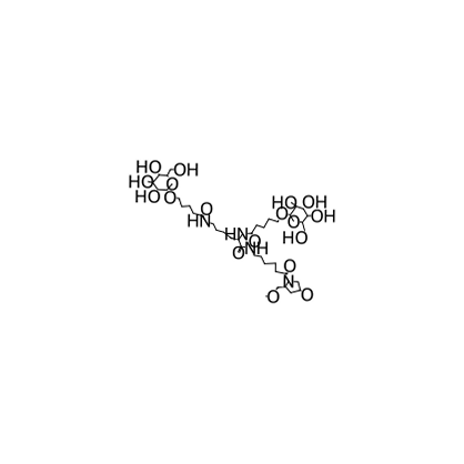 COC[C@@H]1C[C@@H](OC)CN1C(=O)CCCCCNC(=O)[C@@H](CCCCNC(=O)CCCCOC1OC(CO)C(O)C(O)C1O)NC(=O)CCCCOC1OC(CO)C(O)C(O)C1O